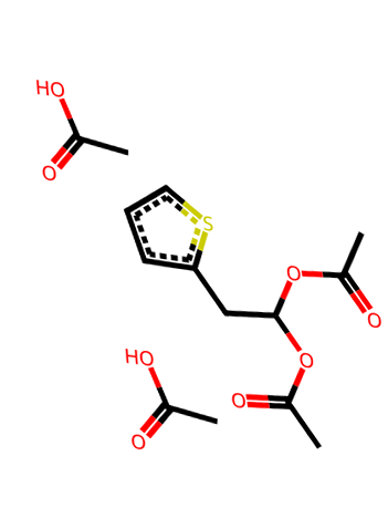 CC(=O)O.CC(=O)O.CC(=O)OC(Cc1cccs1)OC(C)=O